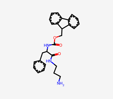 NCCCNC(=O)C(Cc1ccccc1)NC(=O)OCC1c2ccccc2-c2ccccc21